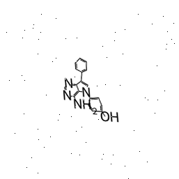 Nc1ncnc2c(-c3ccccc3)cn(-c3ccc(O)cc3)c12